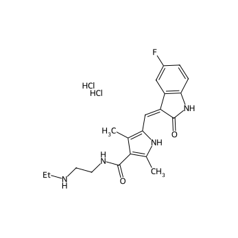 CCNCCNC(=O)c1c(C)[nH]c(C=C2C(=O)Nc3ccc(F)cc32)c1C.Cl.Cl